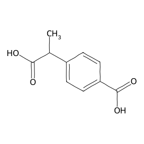 CC(C(=O)O)c1ccc(C(=O)O)cc1